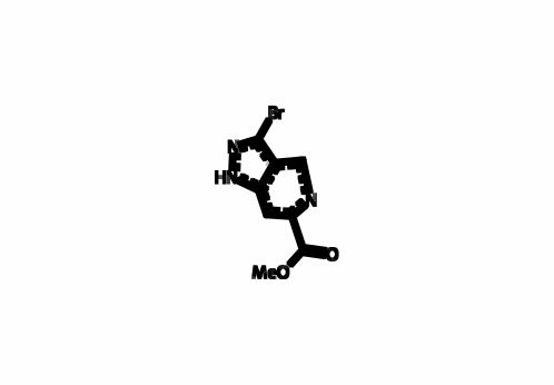 COC(=O)c1cc2[nH]nc(Br)c2cn1